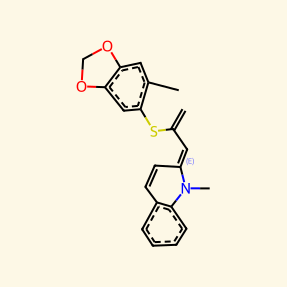 C=C(/C=C1\C=Cc2ccccc2N1C)Sc1cc2c(cc1C)OCO2